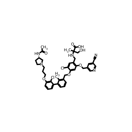 CC(=O)N[C@H]1CCN(CCCOc2cccc(-c3cccc(COc4cc(OCc5cncc(C#N)c5)c(CNC(C)(CO)C(=O)O)cc4Cl)c3C)c2Cl)C1